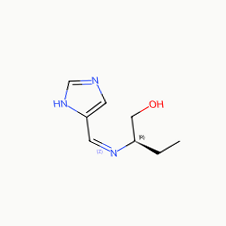 CC[C@H](CO)/N=C\c1cnc[nH]1